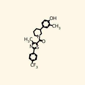 Cc1cc(C2CCCN(C(=O)c3sc(-c4ccc(C(F)(F)F)cc4)nc3C)C2)ccc1O